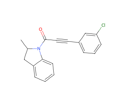 CC1Cc2ccccc2N1C(=O)C#Cc1cccc(Cl)c1